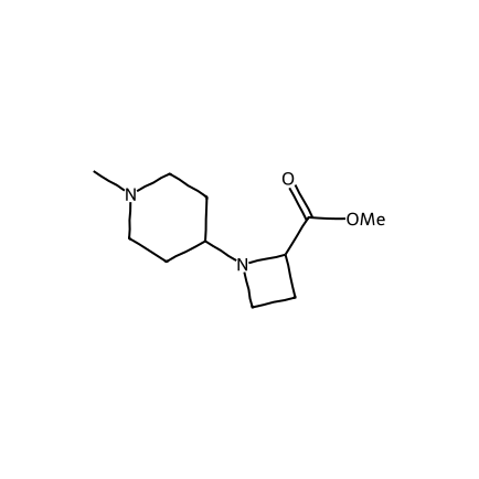 COC(=O)C1CCN1C1CCN(C)CC1